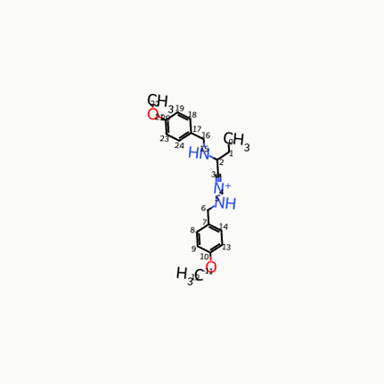 CCC(C#[N+]NCc1ccc(OC)cc1)NCc1ccc(OC)cc1